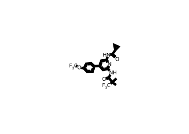 CC(C)(C(=O)Nc1cc(-c2ccc(OC(F)(F)F)cc2)cc(NC(=O)C2CC2)n1)C(F)(F)F